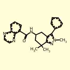 Cn1nc2c(c1-c1ccccc1)CC(NC(=O)c1cccc3nccnc13)CC2(C)C